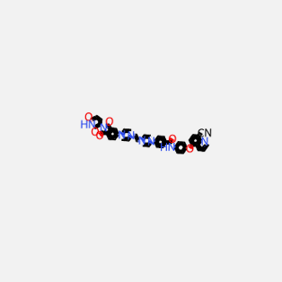 N#Cc1ccc(OC2CCC(NC(=O)c3ccc(N4CCN(CCN5CCN(c6ccc7c(c6)C(=O)N(C6CCC(=O)NC6=O)C7=O)CC5)CC4)cc3)CC2)c2cccnc12